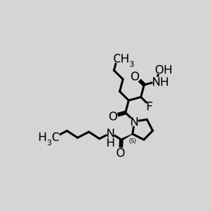 CCCCCNC(=O)[C@@H]1CCCN1C(=O)C(CCCC)C(F)C(=O)NO